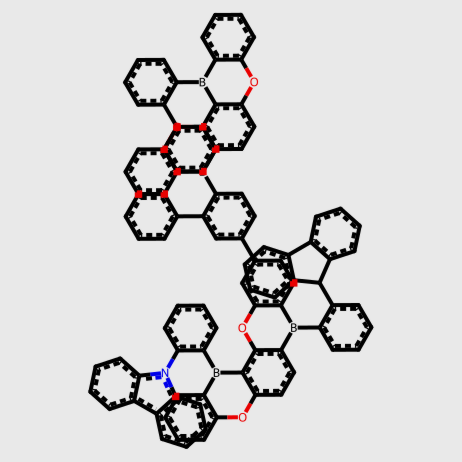 c1ccc(-c2cc(-c3ccc4c(c3)Oc3c(ccc5c3B(c3ccccc3-n3c6ccccc6c6ccccc63)c3ccccc3O5)B4c3ccccc3C3c4ccccc4-c4ccccc43)ccc2B2c3ccccc3Oc3c2ccc2c3B(c3ccccc3-c3ccccc3)c3ccccc3O2)cc1